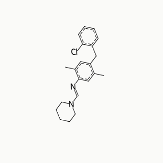 Cc1cc(/N=C/N2CCCCC2)c(C)cc1Cc1ccccc1Cl